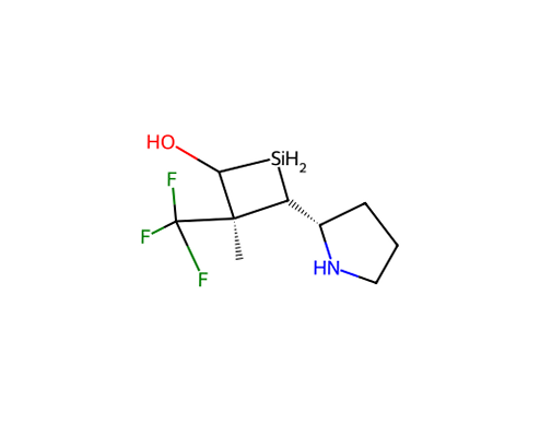 C[C@]1(C(F)(F)F)C(O)[SiH2]C1[C@@H]1CCCN1